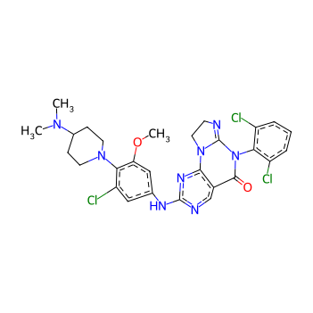 COc1cc(Nc2ncc3c(n2)N2CCN=C2N(c2c(Cl)cccc2Cl)C3=O)cc(Cl)c1N1CCC(N(C)C)CC1